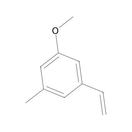 C=Cc1cc(C)cc(OC)c1